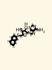 Nc1ncnc2c1ncn2C1OC(CSc2ccc3ccccc3c2)[C@@H](O)[C@H]1O